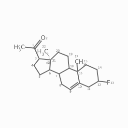 CC(=O)C1CCC2C3CC=C4CC(F)CCC4(C)C3CC[C@]12C